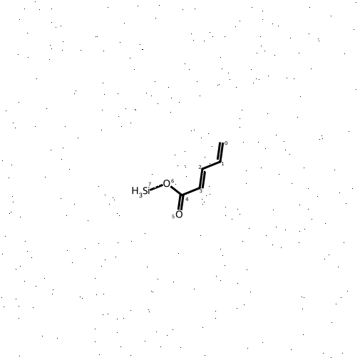 C=CC=CC(=O)O[SiH3]